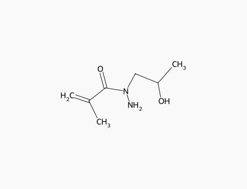 C=C(C)C(=O)N(N)CC(C)O